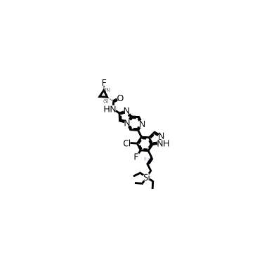 CC[Si](CC)(CC)C/C=C/c1c(F)c(Cl)c(-c2cn3cc(NC(=O)[C@@H]4C[C@@H]4F)nc3cn2)c2cn[nH]c12